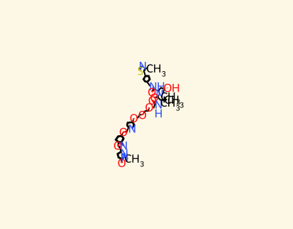 Cc1ncsc1-c1ccc(CNC(=O)[C@H]2C[C@H](O)CN2C(=O)[C@H](NC(=O)COCCOCCOc2ccc(COc3ccc4oc(-c5ccc(=O)n(C)n5)nc4c3)nc2)C(C)(C)C)cc1